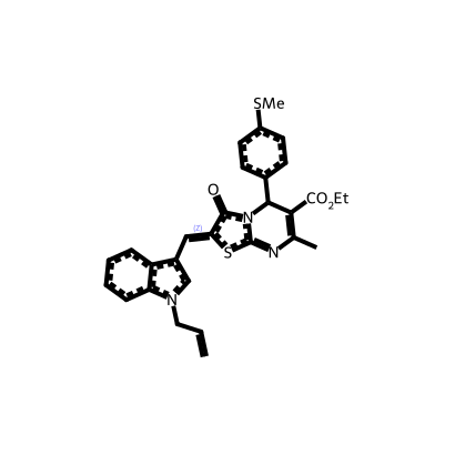 C=CCn1cc(/C=c2\sc3n(c2=O)C(c2ccc(SC)cc2)C(C(=O)OCC)=C(C)N=3)c2ccccc21